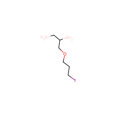 BCC(B)COCCCI